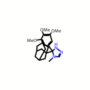 COc1cc(C2(C34CC5CC(CC(C5)C3)C4)NN=CN2C)cc(OC)c1OC